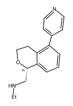 CCNC[C@@H]1OCCc2c(-c3ccncc3)cccc21